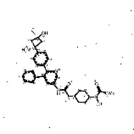 CCN(C(=O)OC)C1CCC(CC(=O)Nc2cnc(-c3ccc([C@]4(N)C[C@](C)(O)C4)cc3)c(-c3ccccc3)c2)CC1